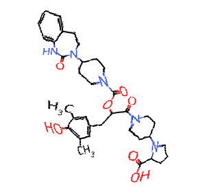 Cc1cc(CC(OC(=O)N2CCC(N3CCc4ccccc4NC3=O)CC2)C(=O)N2CCC(N3CCCC3C(=O)O)CC2)cc(C)c1O